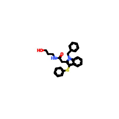 O=C(Cc1c(Sc2ccccc2)c2ccccc2n1Cc1ccccc1)NCCCO